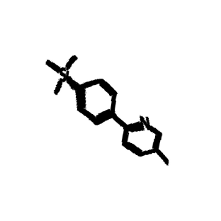 Cc1ccc(-c2ccc([Si](C)(C)C)cc2)nc1